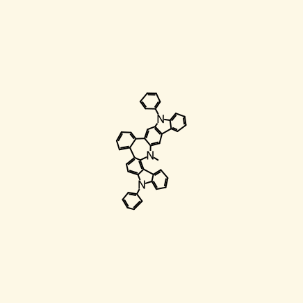 CN1c2cc3c4ccccc4n(-c4ccccc4)c3cc2-c2ccccc2-c2ccc3c(c21)c1ccccc1n3-c1ccccc1